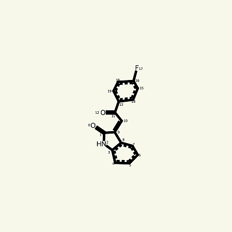 O=C1Nc2ccccc2C1=CC(=O)c1ccc(F)cc1